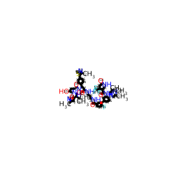 Cc1cc(C(C(=O)N2C[C@H](O)C[C@H]2C(=O)NC(CC(=O)NCCCNC(=O)c2ccc(F)c(-c3ccc(N4C[C@@H](C)N(C)[C@@H](C)C4)c(NC(=O)c4c[nH]c(=O)cc4C(F)(F)F)c3)c2)c2ccc(-c3scnc3C)cc2)C(C)C)on1